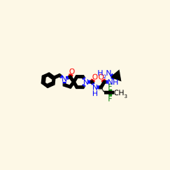 CC(F)(F)C[C@H](NC(=O)N1CCC2(CC1)CCN(Cc1ccccc1)C2=O)C(=O)NC1(N)CC1